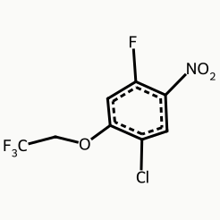 O=[N+]([O-])c1cc(Cl)c(OCC(F)(F)F)cc1F